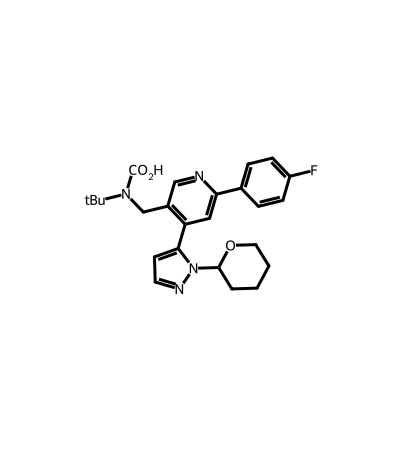 CC(C)(C)N(Cc1cnc(-c2ccc(F)cc2)cc1-c1ccnn1C1CCCCO1)C(=O)O